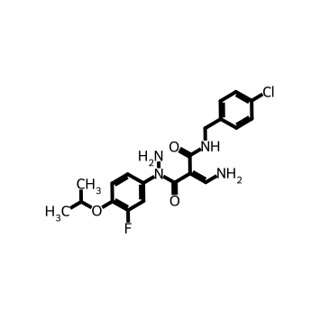 CC(C)Oc1ccc(N(N)C(=O)/C(=C/N)C(=O)NCc2ccc(Cl)cc2)cc1F